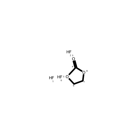 F.F.F.O=C1OCCO1